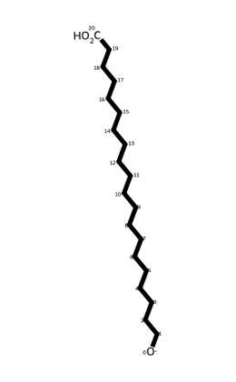 [O]CCCCCCCCCCCCCCCCCCCC(=O)O